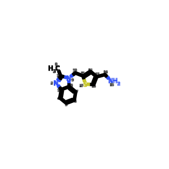 Cc1nc2ccccc2n1Cc1cc(CN)cs1